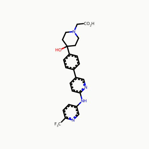 O=C(O)CN1CCC(O)(c2ccc(-c3ccc(Nc4ccc(C(F)(F)F)nc4)nc3)cc2)CC1